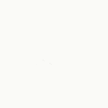 OB(O)c1cn(C2CC2)nc1C1CCCCO1